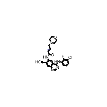 C#Cc1cc2ncnc(Nc3cccc(Cl)c3F)c2cc1NC(=O)/C=C/CN1CCOCC1